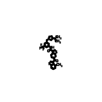 Cc1cccc2ncc(C(=O)N3CCc4c(C(=O)Nc5cc(CN6CC[C@@H](N(C)C)C6)cc(C(F)(F)F)c5)csc4C3)n12